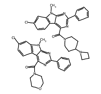 Cn1c2cc(Cl)ccc2c2c(C(=O)N3CCC(N4CCC4)CC3)nc(-c3ccccc3)nc21.Cn1c2cc(Cl)ccc2c2c(C(=O)N3CCOCC3)nc(-c3ccccc3)nc21